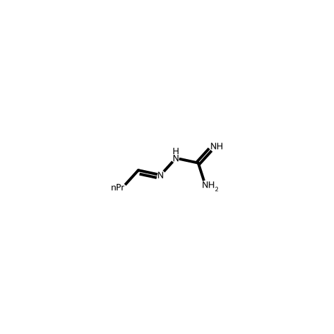 CCCC=NNC(=N)N